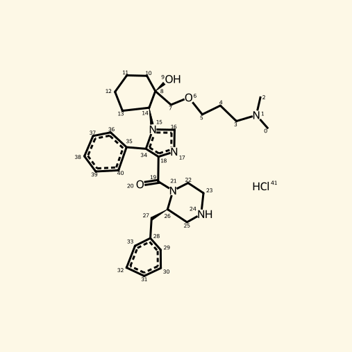 CN(C)CCCOC[C@@]1(O)CCCC[C@@H]1n1cnc(C(=O)N2CCNC[C@H]2Cc2ccccc2)c1-c1ccccc1.Cl